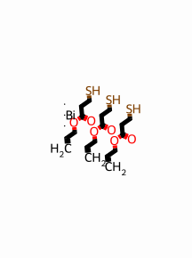 C=CCOC(=O)CCS.C=CCOC(=O)CCS.C=CCOC(=O)CCS.[Bi]